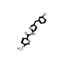 Cc1ccc(C(=O)Nc2ccc(Cc3cccc(Cl)c3)cn2)nn1